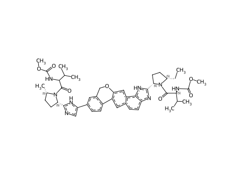 CC[C@H]1CC[C@@H](c2nc3ccc4cc5c(cc4c3[nH]2)OCc2cc(-c3cnc([C@@H]4CC[C@H](C)N4C(=O)C(NC(=O)OC)C(C)C)[nH]3)ccc2-5)N1C(=O)[C@@H](NC(=O)OC)C(C)C